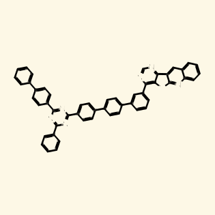 c1ccc(-c2ccc(-c3nc(-c4ccccc4)nc(-c4ccc(-c5ccc(-c6cccc(-c7ncnc8c7sc7nc9ccccc9cc78)c6)cc5)cc4)n3)cc2)cc1